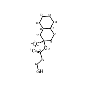 CC1(OC(=O)CCS)CCC2CCCCC2C1